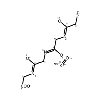 O=C([O-])CN=C([O-])CN=C([O-])CN=C([O-])C[S-].[O]=[99Tc+3]